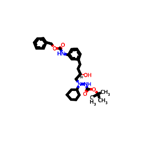 CC(C)(C)OC(=O)NN(C[C@@H](O)CCc1cccc(NC(=O)OCc2ccccc2)c1)C1CCCCC1